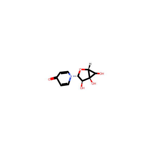 O=c1ccn([C@@H]2O[C@@H]3C(O)[C@]3(O)[C@H]2O)cc1